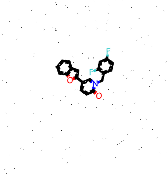 O=c1ccc(-c2cc3ccccc3o2)cn1Cc1ccc(F)cc1F